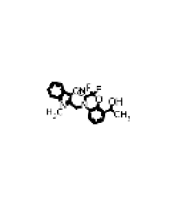 CC(O)c1cccc2c1OC(F)(F)C(=O)N2Cc1c(C#N)c2ccccc2n1C